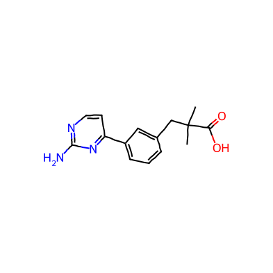 CC(C)(Cc1cccc(-c2ccnc(N)n2)c1)C(=O)O